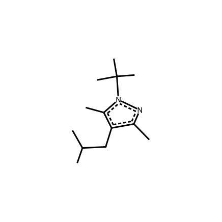 Cc1nn(C(C)(C)C)c(C)c1CC(C)C